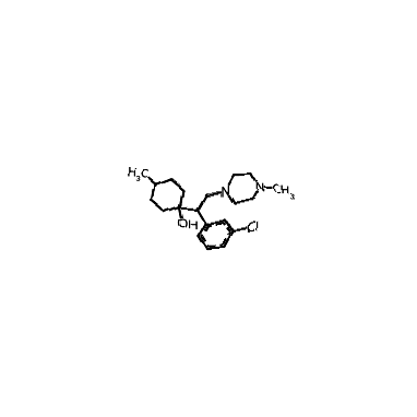 CC1CCC(O)(C(CN2CCN(C)CC2)c2cccc(Cl)c2)CC1